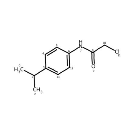 CC(C)c1ccc(NC(=O)CCl)cc1